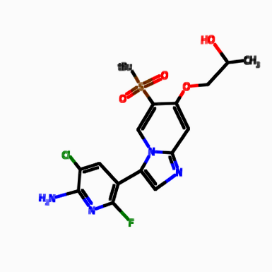 CC(O)COc1cc2ncc(-c3cc(Cl)c(N)nc3F)n2cc1S(=O)(=O)C(C)(C)C